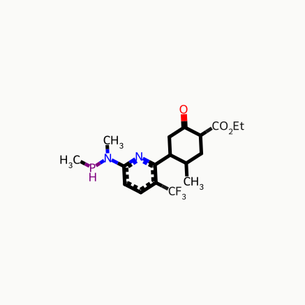 CCOC(=O)C1CC(C)C(c2nc(N(C)PC)ccc2C(F)(F)F)CC1=O